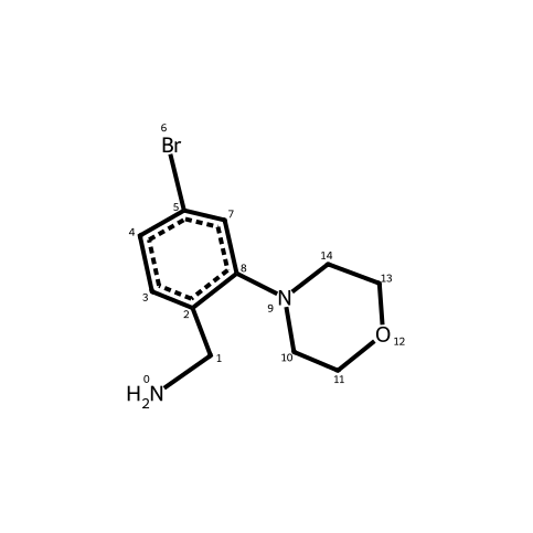 NCc1ccc(Br)cc1N1CCOCC1